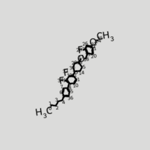 CCCCCc1ccc(-c2ccc(C3CCC(OCc4ccc(OCC)cc4F)CC3)c(F)c2F)cc1